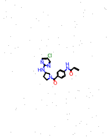 C=CC(=O)Nc1ccc(C(=O)N2CCC(Nc3ncc(Cl)cn3)C2)cc1